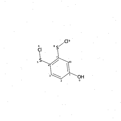 Oc1ccc(SCl)c(SCl)c1